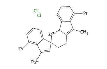 CC1=C[C]2(CCC3=C(C)c4c(C(C)C)cccc4[CH]3[Zr+2]2)c2cccc(C(C)C)c21.[Cl-].[Cl-]